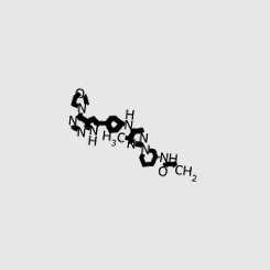 C=CC(=O)N[C@@H]1CCCN(c2ncc(Nc3ccc(-c4cc5c(N6CCOCC6)ncnc5[nH]4)cc3)c(C)n2)C1